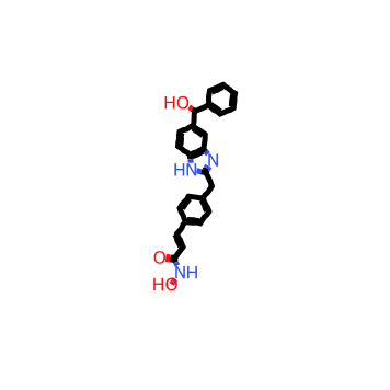 O=C(/C=C/c1ccc(Cc2nc3cc(C(O)c4ccccc4)ccc3[nH]2)cc1)NO